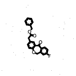 O=C(Cc1ccc2c(c1)C(=O)c1ccc(F)cc1CO2)OCc1ccccc1